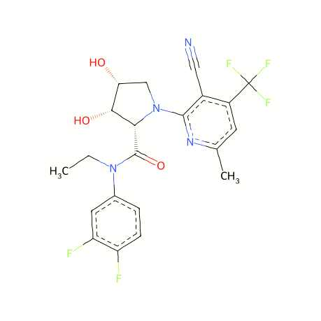 CCN(C(=O)[C@@H]1[C@H](O)[C@H](O)CN1c1nc(C)cc(C(F)(F)F)c1C#N)c1ccc(F)c(F)c1